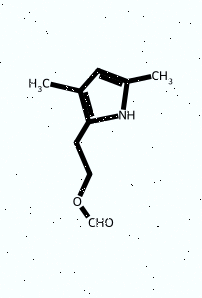 Cc1cc(C)c(CCOC=O)[nH]1